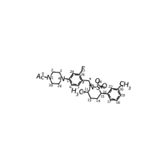 CC(=O)N1CCN(c2ccc(CN3C(C)CCC(c4cccc(C)c4)S3(=O)=O)c(F)c2)CC1